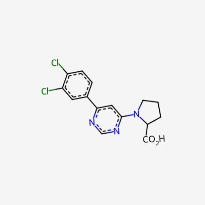 O=C(O)C1CCCN1c1cc(-c2ccc(Cl)c(Cl)c2)ncn1